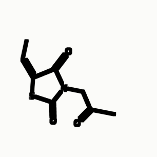 C/C=C1/SC(=O)N(CC(C)=O)C1=O